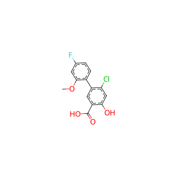 COc1cc(F)ccc1-c1cc(C(=O)O)c(O)cc1Cl